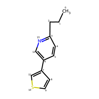 CCCc1ccc(-c2ccsc2)cn1